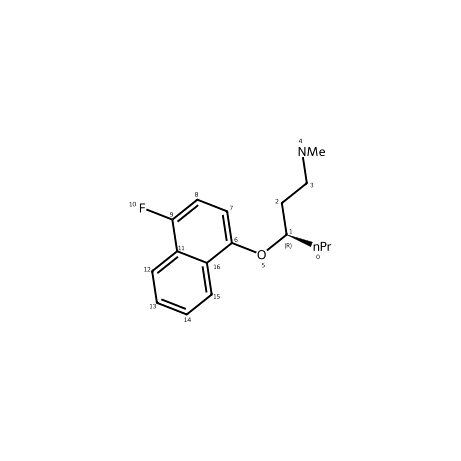 CCC[C@H](CCNC)Oc1ccc(F)c2ccccc12